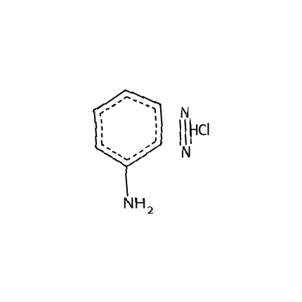 Cl.N#N.Nc1ccccc1